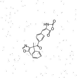 Cc1ocnc1C(C)(C(=O)c1ccc(C=C2NC(=O)OC2=O)cc1)c1ccccc1